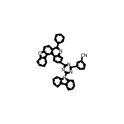 N#Cc1cccc(-c2nc(-c3ccc4c(c3)nc(-c3ccccc3)c3ccc5oc6ccccc6c5c34)nc(-n3c4ccccc4c4ccccc43)n2)c1